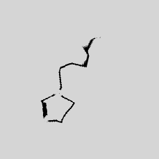 CCCCCCCCN1C=NCC1